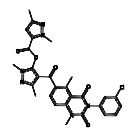 Cc1cc(C(=O)Oc2c(C(=O)c3ccc4c(c3C)c(=O)n(-c3cccc(Cl)c3)c(=O)n4C)c(C)nn2C)n(C)n1